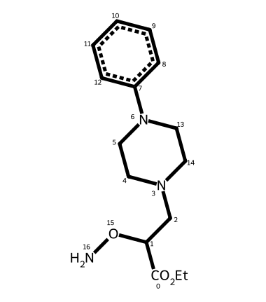 CCOC(=O)C(CN1CCN(c2ccccc2)CC1)ON